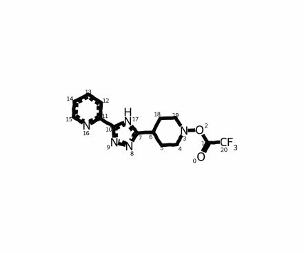 O=C(ON1CCC(c2nnc(-c3ccccn3)[nH]2)CC1)C(F)(F)F